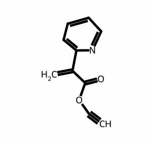 C#COC(=O)C(=C)c1ccccn1